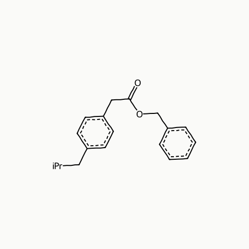 CC(C)Cc1ccc(CC(=O)OCc2ccccc2)cc1